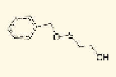 OCCSOCc1ccccc1